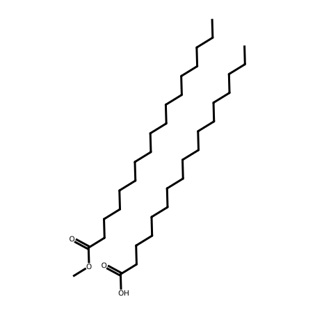 CCCCCCCCCCCCCCCCC(=O)O.CCCCCCCCCCCCCCCCC(=O)OC